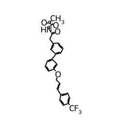 CS(=O)(=O)NC(=O)Cc1cccc(-c2cccc(OC/C=C/c3ccc(C(F)(F)F)cc3)c2)c1